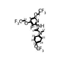 C=C(Nc1nc(OCC(F)(F)F)cc(OCC(F)(F)F)c1F)N(C)c1ccc(OC(F)(F)F)cc1